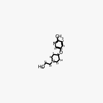 Cc1ccc(OC2CCN(CCO)CC2)cn1